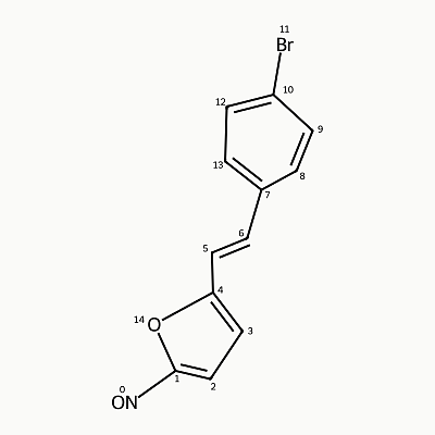 O=Nc1ccc(/C=C/c2ccc(Br)cc2)o1